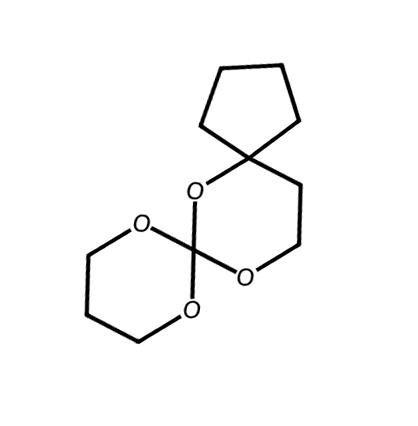 C1COC2(OC1)OCCC1(CCCC1)O2